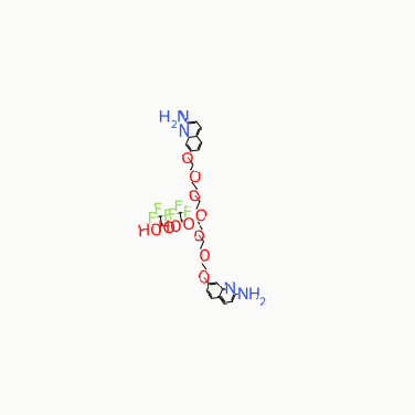 Nc1ccc2ccc(OCCOCCOCCOCCOCCOCCOc3ccc4ccc(N)nc4c3)cc2n1.O=C(O)C(F)(F)F.O=C(O)C(F)(F)F